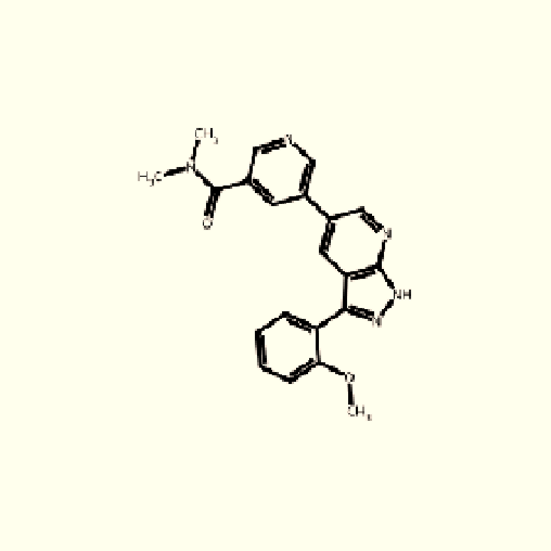 COc1ccccc1-c1n[nH]c2ncc(-c3cncc(C(=O)N(C)C)c3)cc12